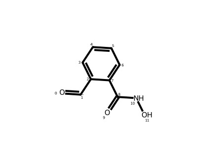 O=[C]c1ccccc1C(=O)NO